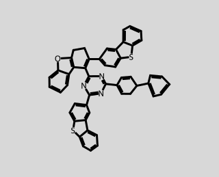 C1=CC(c2ccccc2)CC=C1c1nc(C2=C(c3ccc4sc5ccccc5c4c3)CCc3oc4ccccc4c32)nc(-c2ccc3sc4ccccc4c3c2)n1